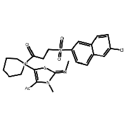 C/N=c1\sc([N+]2(C(=O)CCS(=O)(=O)c3ccc4cc(Cl)ccc4c3)CCCCC2)c(C(C)=O)n1C